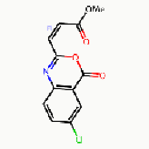 COC(=O)/C=C\c1nc2ccc(Cl)cc2c(=O)o1